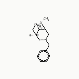 CC1C2CN(Cc3ccccc3)C[C@H]1CO[C@@H]2C